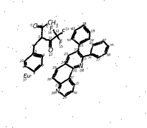 CC(=O)C(Cc1ccccc1)C(=O)C(F)(F)F.[Eu].c1ccc(-c2cc3ccc4ncccc4c3nc2-c2ccccc2)cc1